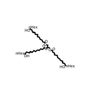 CCCCCCC(O)C/C=C/CCCCCCCC(=O)OCC(COC(=O)CCCCCCC/C=C/CC(O)CCCCCC)OC(=O)CCCCCCC/C=C/CC(O)CCCCCC